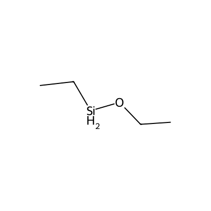 CCO[SiH2]CC